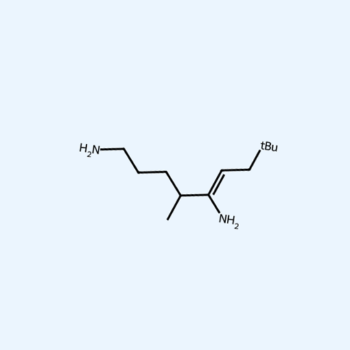 CC(CCCN)C(N)=CCC(C)(C)C